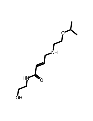 CC(C)OCCNC/C=C/C(=O)NCCO